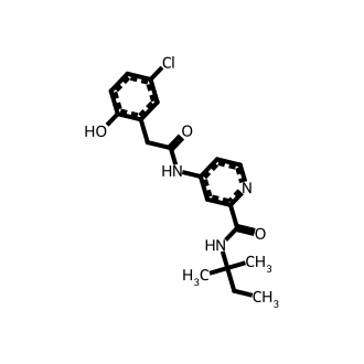 CCC(C)(C)NC(=O)c1cc(NC(=O)Cc2cc(Cl)ccc2O)ccn1